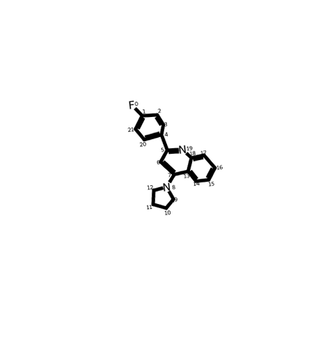 Fc1ccc(-c2cc(N3[CH]CCC3)c3ccccc3n2)cc1